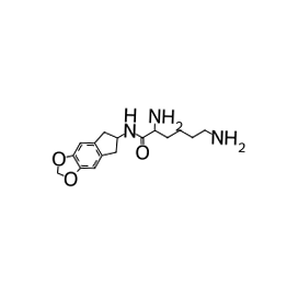 NCCCCC(N)C(=O)NC1Cc2cc3c(cc2C1)OCO3